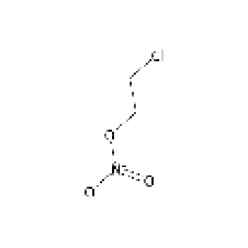 O=[N+]([O-])OCCCl